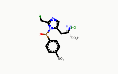 Cl.N[C@@H](Cc1cnc(CF)n1[S+]([O-])c1ccc([N+](=O)[O-])cc1)C(=O)O